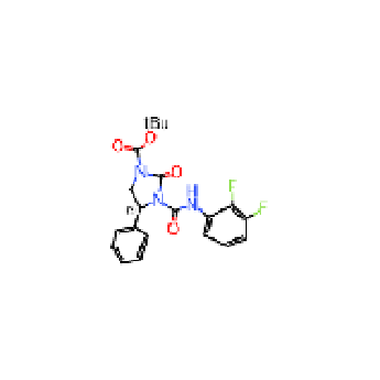 CC(C)(C)OC(=O)N1C[C@H](c2ccccc2)N(C(=O)Nc2cccc(F)c2F)C1=O